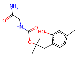 Cc1ccc(CC(C)(C)OC(=O)NCC(N)=O)c(O)c1